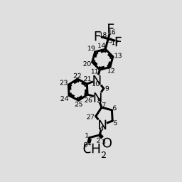 C=CC(=O)N1CCC(N2CN(c3ccc(C(F)(F)F)cc3)c3ccccc32)C1